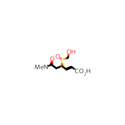 CNC(=O)CC(C=CC(=O)O)[PH](=O)CO